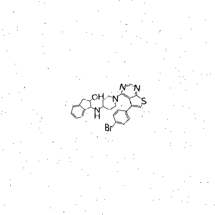 OC1Cc2ccccc2C1NC1CCN(c2ncnc3scc(-c4ccc(Br)cc4)c23)CC1